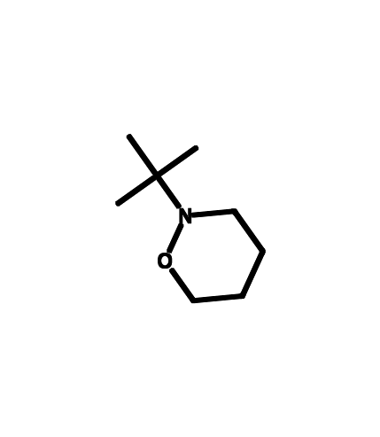 CC(C)(C)N1CCCCO1